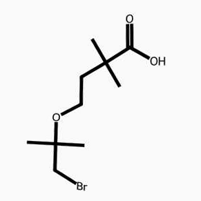 CC(C)(CBr)OCCC(C)(C)C(=O)O